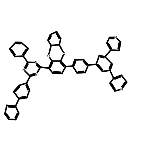 C1=CC2Oc3c(-c4ccc(-c5cc(-c6ccncc6)cc(-c6ccncc6)c5)cc4)ccc(-c4nc(-c5ccccc5)nc(-c5ccc(-c6ccccc6)cc5)n4)c3OC2C=C1